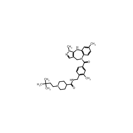 Cc1ccc2c(c1)Nc1c(cnn1C)CN2C(=O)c1ccc(CNC(=O)C2CCN(CCC(C)(C)C)CC2)c(C)c1